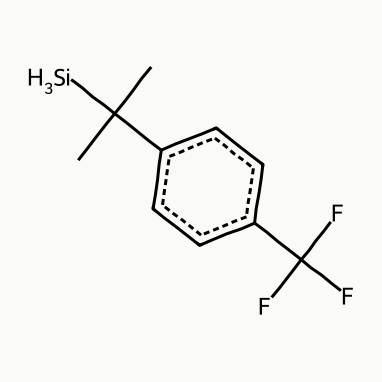 CC(C)([SiH3])c1ccc(C(F)(F)F)cc1